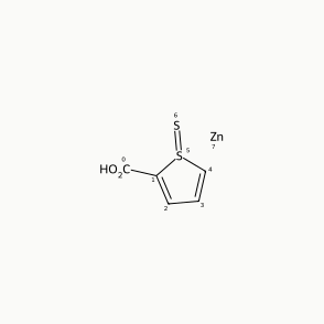 O=C(O)C1=CC=CS1=S.[Zn]